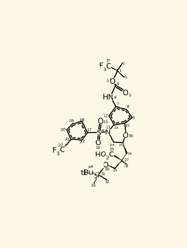 CC(C)(OC(=O)Nc1ccc2c(c1)N(S(=O)(=O)c1cccc(C(F)(F)F)c1)C[C@H](C[C@](C)(CO[Si](C)(C)C(C)(C)C)C(=O)O)O2)C(F)(F)F